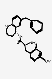 Cc1cc(O)ccc1C[C@H](N)C(=O)N[C@@H]1CCCNc2ccc(Cc3ccccc3)cc21